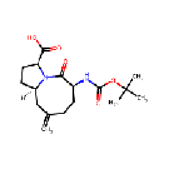 C=C1CC[C@H](NC(=O)OC(C)(C)C)C(=O)N2[C@H](CC[C@H]2C(=O)O)C1